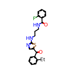 CCc1ccccc1C(=O)c1cnc(NCCCNC(=O)c2ccccc2F)s1